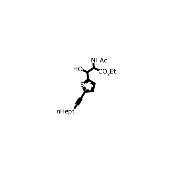 CCCCCCCC#Cc1ccc(C(O)C(NC(C)=O)C(=O)OCC)s1